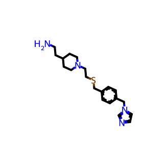 NCCC1CCN(CCSCc2ccc(Cn3ccnc3)cc2)CC1